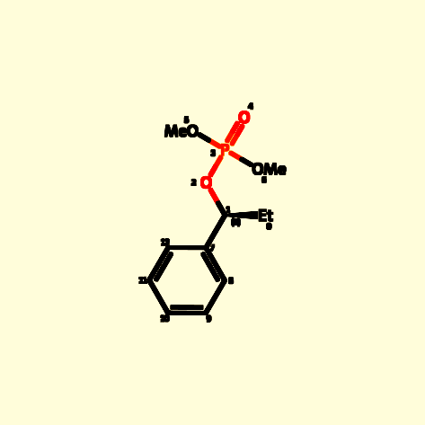 CC[C@H](OP(=O)(OC)OC)c1ccccc1